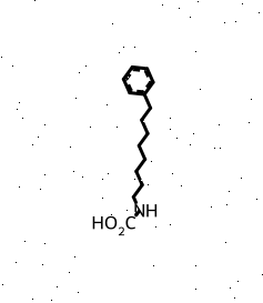 O=C(O)NCCCCCCCCc1ccccc1